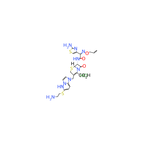 C=CCO/N=C(\C(=O)N[C@@H]1C(=O)N2C(C(=O)O)=C(CN3C=CN4NC(SCCN)=CC=C34)CS[C@@H]12)c1csc(N)n1.Cl